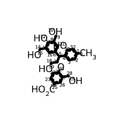 Cc1ccc(C(c2cc(CO)c(O)c(CO)c2)C(CO)Oc2ccc(C(=O)O)cc2CO)c(O)c1